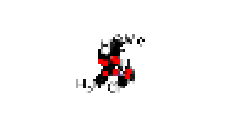 COC(=O)Nc1ccc(-c2c[nH]c([C@@H]3[C@H](c4ccc(F)cc4)C[C@H](N4CCC(N)CC4)CN3C(=O)/C=C/c3cc(Cl)ccc3-n3cnnn3)n2)cc1